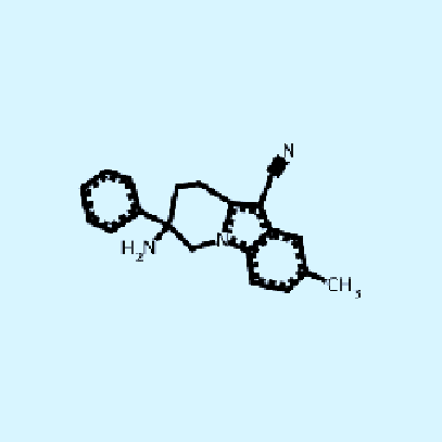 Cc1ccc2c(c1)c(C#N)c1n2CC(N)(c2ccccc2)CC1